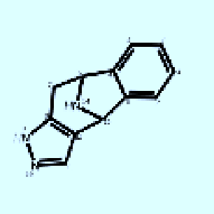 c1ccc2c(c1)C1Cc3[nH]ncc3C2N1